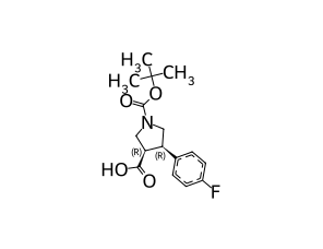 CC(C)(C)OC(=O)N1C[C@H](C(=O)O)[C@H](c2ccc(F)cc2)C1